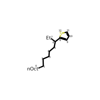 CCCCCCCCCCCCCC(CC)c1cccs1